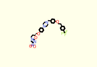 O=[N+]([O-])c1cn2c(n1)O[C@H](COc1ccc(N3CCN(Cc4ccc(OCCc5ccc(C(F)(F)F)cc5)cc4)CC3)cc1)CC2